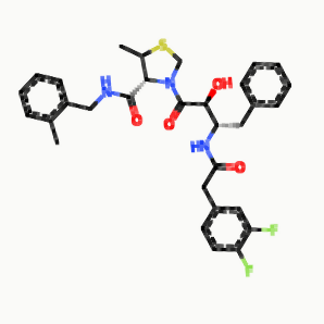 Cc1ccccc1CNC(=O)[C@@H]1C(C)SCN1C(=O)[C@@H](O)[C@H](Cc1ccccc1)NC(=O)Cc1ccc(F)c(F)c1